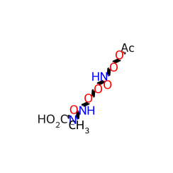 CC(=O)COCCOCCNC(=O)COCCOCCNC(=O)CN(C)CC(=O)O